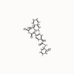 O=C1CC(=O)N(c2ccc(NC(=O)Cc3ccccc3Cl)cc2)C2CC=c3ccccc3=C2N1